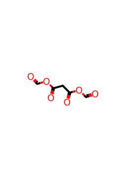 O=COC(=O)CC(=O)OC=O